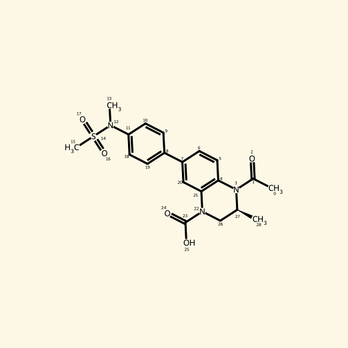 CC(=O)N1c2ccc(-c3ccc(N(C)S(C)(=O)=O)cc3)cc2N(C(=O)O)C[C@@H]1C